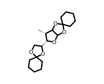 C[C@@H]1C2OC3(CCCCC3)OC2O[C@@H]1C1COC2(CCCCC2)O1